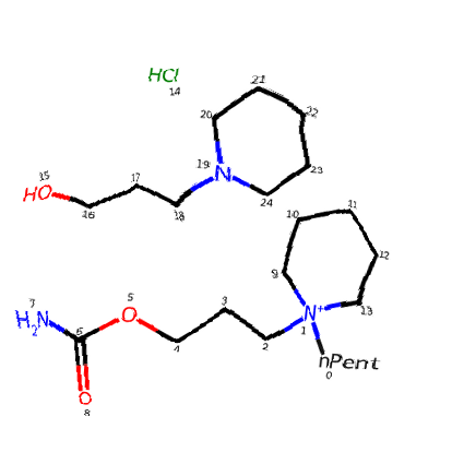 CCCCC[N+]1(CCCOC(N)=O)CCCCC1.Cl.OCCCN1CCCCC1